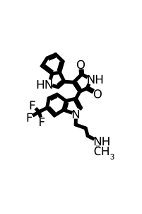 CNCCCn1cc(C2=C(c3c[nH]c4ccccc34)C(=O)NC2=O)c2ccc(C(F)(F)F)cc21